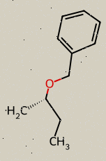 [CH2][C@@H](CC)OCc1ccccc1